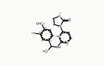 CC(Nc1nccc(N2CCOC2=O)n1)c1ccc(C=O)c(F)c1